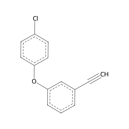 C#Cc1cccc(Oc2ccc(Cl)cc2)c1